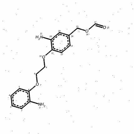 Nc1ccccc1OCCOc1ccc(COC=O)cc1N